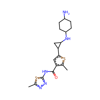 Cc1nnc(NC(=O)c2cc(C3CC3NC3CCC(N)CC3)sc2C)s1